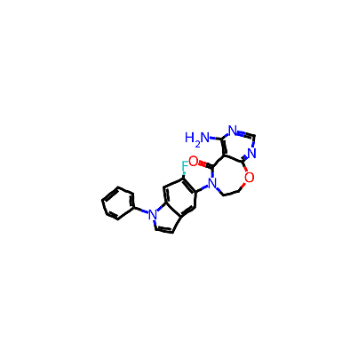 Nc1ncnc2c1C(=O)N(c1cc3ccn(-c4ccccc4)c3cc1F)CCO2